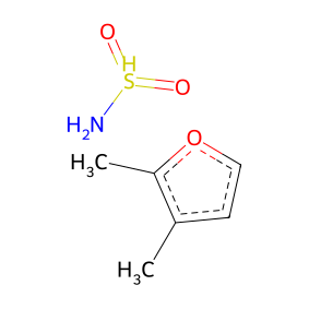 Cc1ccoc1C.N[SH](=O)=O